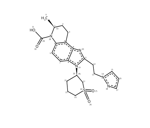 C[C@H]1CCc2c(ccc3c2nc(CCn2cccn2)n3[C@@H]2CCCS(=O)(=O)C2)N1C(=O)O